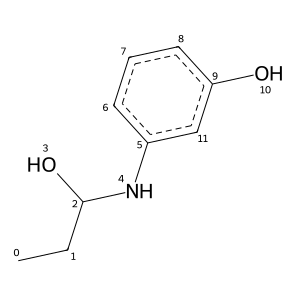 CCC(O)Nc1cccc(O)c1